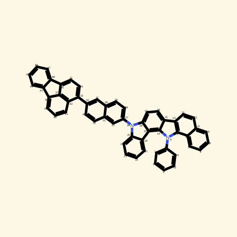 c1ccc(-n2c3c4ccccc4ccc3c3ccc4c(c5ccccc5n4-c4ccc5cc(-c6ccc7c8c(cccc68)-c6ccccc6-7)ccc5c4)c32)cc1